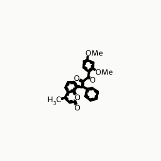 COc1ccc(C(=O)c2oc3ccc4c(C)cc(=O)oc4c3c2-c2ccccc2)c(OC)c1